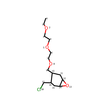 CCOCCOCCOCC1CC2OC2CC1CCl